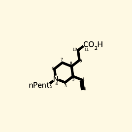 C=CC1CN(CCCCC)CCC1CCC(=O)O